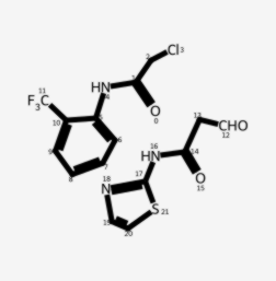 O=C(CCl)Nc1ccccc1C(F)(F)F.O=CCC(=O)Nc1nccs1